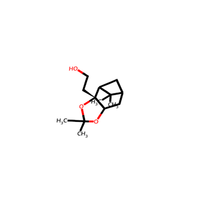 CC1(C)OC2CC3CC(C3(C)C)[C@@]2(CCO)O1